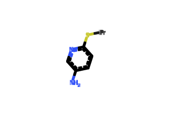 CC(C)Sc1ccc(N)cn1